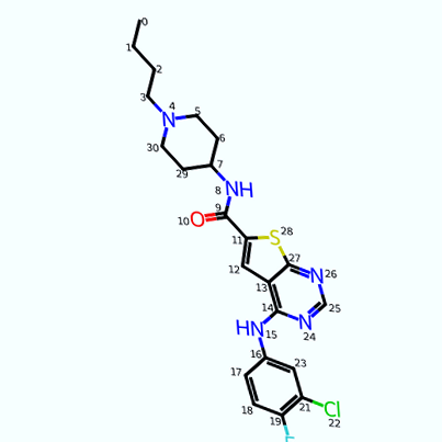 CCCCN1CCC(NC(=O)c2cc3c(Nc4ccc(F)c(Cl)c4)ncnc3s2)CC1